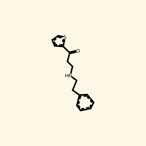 O=C(CCNCCc1ccccc1)c1cccs1